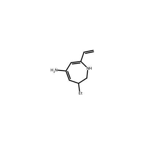 C=CC1=CC(N)=CC(CC)CN1